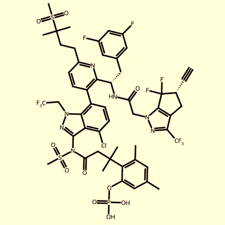 C#C[C@@H]1Cc2c(C(F)(F)F)nn(CC(=O)N[C@@H](Cc3cc(F)cc(F)c3)c3nc(CCC(C)(C)S(C)(=O)=O)ccc3-c3ccc(Cl)c4c(N(C(=O)CC(C)(C)c5c(C)cc(C)cc5OP(=O)(O)O)S(C)(=O)=O)nn(CC(F)(F)F)c34)c2C1(F)F